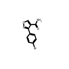 NC(=O)c1[c]onc1-c1ccc(Br)cc1